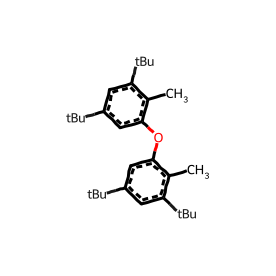 Cc1c(Oc2cc(C(C)(C)C)cc(C(C)(C)C)c2C)cc(C(C)(C)C)cc1C(C)(C)C